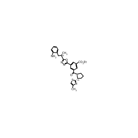 CCOC(=O)c1cc(C(=O)N2CCC[C@@H]2c2nc(C)cs2)cc(-c2nnc([C@H](C)Cc3ccccc3N)o2)c1